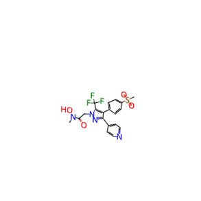 CN(O)C(=O)Cn1nc(-c2ccncc2)c(-c2ccc(S(C)(=O)=O)cc2)c1C(F)(F)F